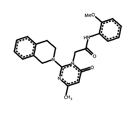 COc1ccccc1NC(=O)Cn1c(N2CCc3ccccc3C2)nc(C)cc1=O